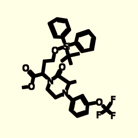 COC(=O)C(CCO[Si](c1ccccc1)(c1ccccc1)C(C)(C)C)N1CCN(c2cccc(OC(F)(F)F)c2)C(C)C1=O